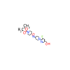 CC(C)OC(=O)N1CCC(ON=C2CCN(c3ncc(CO)cc3F)CC2)CC1